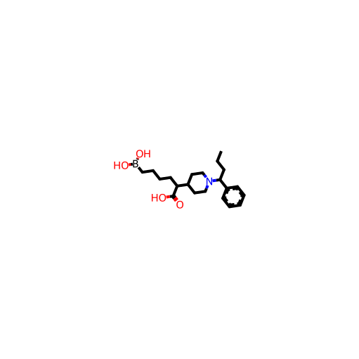 CCCC(c1ccccc1)N1CCC(C(CCCCB(O)O)C(=O)O)CC1